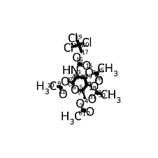 CC(=O)OC[C@H]1O[C@@H](OC(C)=O)[C@H](NC(=O)OCC(Cl)(Cl)Cl)[C@@H](OC(C)=O)[C@H]1OC(C)=O